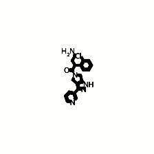 NCCC(C(=O)N1Cc2[nH]nc(-c3cccnc3)c2C1)c1ccccc1Cl